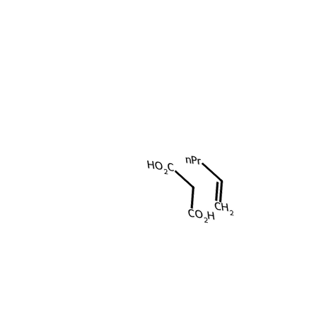 C=CCCC.O=C(O)CC(=O)O